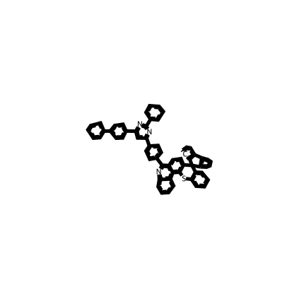 c1ccc(-c2ccc(-c3cc(-c4ccc(-c5nc6ccccc6c6c7c(ccc56)C5(c6ccccc6S7)c6ccccc6-c6ccccc65)cc4)nc(-c4ccccc4)n3)cc2)cc1